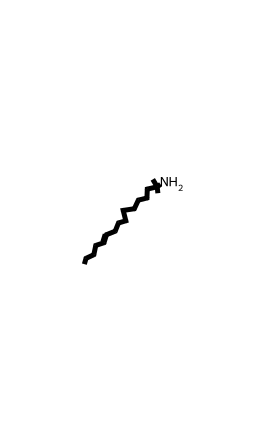 CCCCC=CCCCCCCCCC(C)(C)N